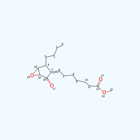 CCCCC1C(=CCCCCCC(=O)OC)C(=O)C2OC12